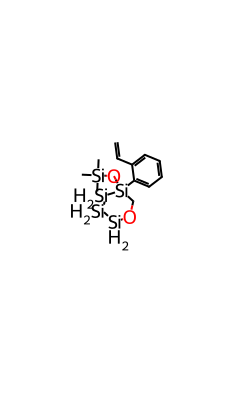 C=Cc1ccccc1[Si]1(O[Si](C)(C)C)CO[SiH2][SiH2][SiH2]1